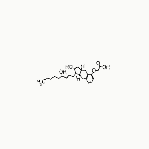 CCCCC[C@H](O)CCC[C@@H]1[C@H]2Cc3cccc(OCC(=O)O)c3C[C@H]2C[C@H]1O